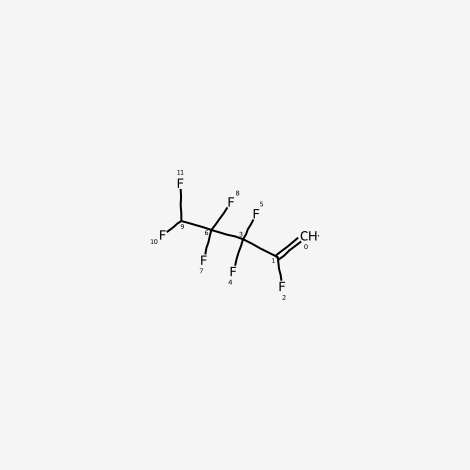 [CH]=C(F)C(F)(F)C(F)(F)C(F)F